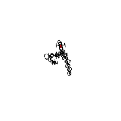 COCCOCCOCCOCCOCCOc1nn([C@H]2CC[C@H](N3[C@@H]4CC[C@H]3COC4)CC2)cc1Nc1ncc(-c2ccc(Cl)c(O[C@@H](C)Cn3cncn3)c2)cn1